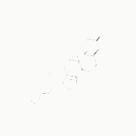 C[C@]12CC[C@H]3[C@@H](CCC4=CC(=O)CC[C@@]43C)[C@@H]1CC[C@@H]2CCCC#N